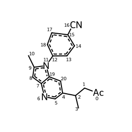 CC(=O)CC(C)c1cnc2cc(C)n(-c3ccc(C#N)cc3)c2c1